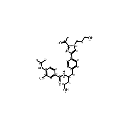 CC(=O)c1nc(-c2ccc(CC(CCO)NC(=O)c3ccc(OC(C)C)c(Cl)c3)cc2)cn1CCCO